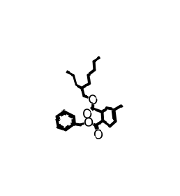 CCCCCC(CCC)COC(=O)C1CC(C)=CCC1C(=O)OCc1ccccc1